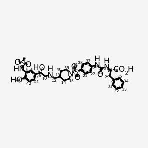 CS(=O)(=O)Nc1cc([C@H](O)CNCC2CCN(S(=O)(=O)c3ccc(NC(=O)N[C@@H](Cc4ccccc4)C(=O)O)cc3)CC2)ccc1O